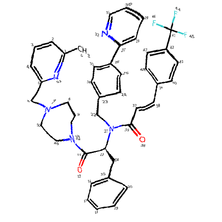 Cc1cccc(CN2CCN(C(=O)[C@H](Cc3ccccc3)N(Cc3ccc(-c4ccccn4)cc3)C(=O)/C=C/c3ccc(C(F)(F)F)cc3)CC2)n1